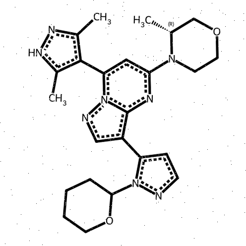 Cc1n[nH]c(C)c1-c1cc(N2CCOC[C@H]2C)nc2c(-c3ccnn3C3CCCCO3)cnn12